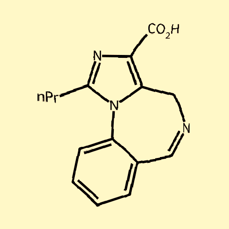 CCCc1nc(C(=O)O)c2n1-c1ccccc1C=NC2